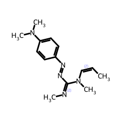 C/C=C\N(C)/C(N=Nc1ccc(N(C)C)cc1)=N/C